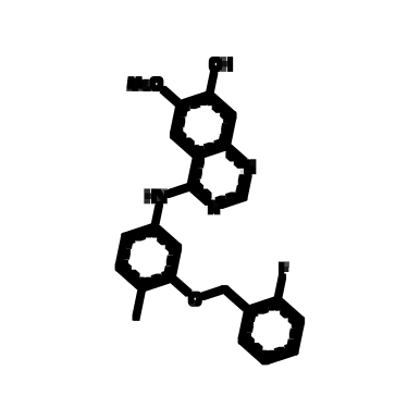 COc1cc2c(Nc3ccc(C)c(OCc4ccccc4F)c3)ncnc2cc1O